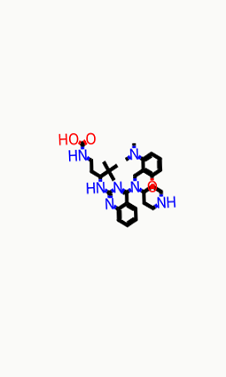 COc1cccc(N(C)C)c1CN(c1nc(NC(CCNC(=O)O)C(C)(C)C)nc2ccccc12)C1CCNCC1